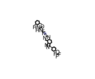 Cc1cccc(C)c1NC(=O)NS/N=C/c1ncc2c(ccc3c(-c4ccc(OC(F)(F)F)cc4)n(C)nc32)n1